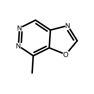 Cc1nncc2ncoc12